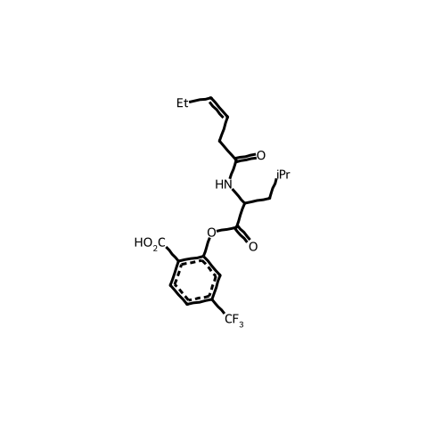 CC/C=C\CC(=O)NC(CC(C)C)C(=O)Oc1cc(C(F)(F)F)ccc1C(=O)O